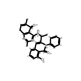 CC1=CCc2nc(C)nc(NC(C)c3cc4cccc(Cl)c4c(=O)n3-c3ccccc3)c2C1=O